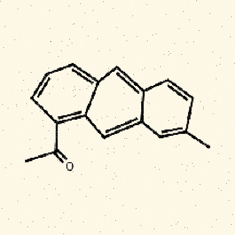 CC(=O)c1cccc2cc3ccc(C)cc3cc12